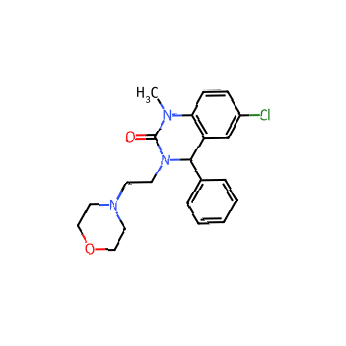 CN1C(=O)N(CCN2CCOCC2)C(c2ccccc2)c2cc(Cl)ccc21